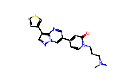 CN(C)CCCn1ccc(-c2cnc3c(-c4ccsc4)cnn3c2)cc1=O